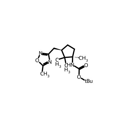 Cc1nc(C[C@H]2CC[C@@](C)(NC(=O)OC(C)(C)C)C2(C)C)no1